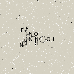 O=C(NC1CCC(O)CC1)c1nc(C(F)F)cc(-n2ccnc2)n1